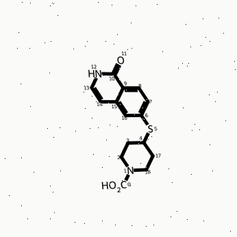 O=C(O)N1CCC(Sc2ccc3c(=O)[nH]ccc3c2)CC1